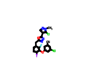 Cn1ncc(-c2nnc(Cc3ccc(I)c(Oc4cc(Cl)cc(C#N)c4)c3F)o2)c1Cl